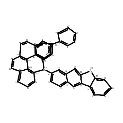 c1ccc(-c2cccc(N(c3ccc4cc5c(cc4c3)sc3ccccc35)c3cccc4ccc5ccc6ccccc6c5c34)c2)cc1